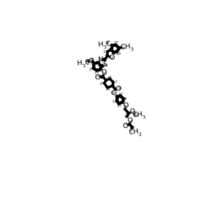 C=CC(=O)OCC(COc1ccc(OC(=O)C2CCC(C(=O)Oc3ccc(OC)c4nc(C5Cc6c(C)cc(C)cc6O5)sc34)CC2)cc1)OC